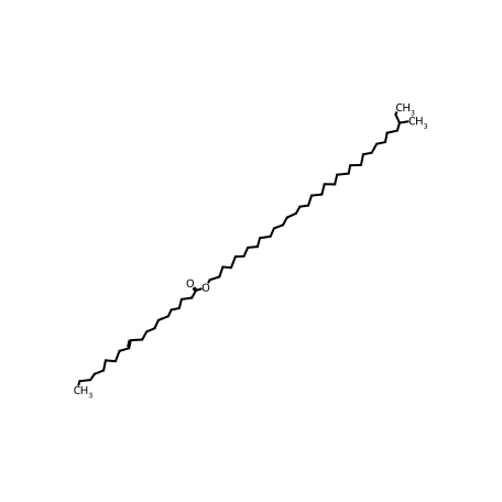 CCCCCCCCC=CCCCCCCCCCC(=O)OCCCCCCCCCCCCCCCCCCCCCCCCCCCCCCC(C)CC